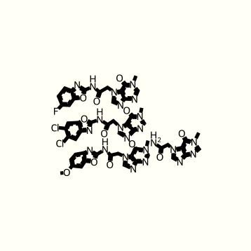 COc1ccc2nc(NC(=O)Cn3cnc4ncn(C)c(=O)c43)oc2c1.Cn1cnc2ncn(CC(=O)Nc3nc4cc(Cl)c(Cl)cc4o3)c2c1=O.Cn1cnc2ncn(CC(=O)Nc3nc4ccc(F)cc4o3)c2c1=O.Cn1cnc2ncn(CC(N)=O)c2c1=O